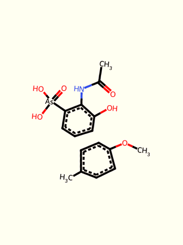 CC(=O)Nc1c(O)cccc1[As](=O)(O)O.COc1ccc(C)cc1